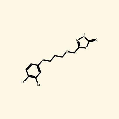 CCc1ccc(OCCCSCc2n[nH]c(=O)o2)cc1CC